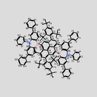 CC(C)(C)c1cc(C(C)(C)C)c(-c2cc3c4c(cc5c(-c6c(C(C)(C)C)cc(C(C)(C)C)cc6C(C)(C)C)cc6c7c(cc2c4c57)B2c4ccc(-c5ccccc5)cc4N(c4ccccc4)c4cc(-c5ccccc5)cc-6c42)B2c4ccc(-c5ccccc5)cc4N(c4ccccc4)c4cc(-c5ccccc5)cc-3c42)c(C(C)(C)C)c1